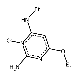 CCNc1cc(OCC)nc(N)[n+]1[O-]